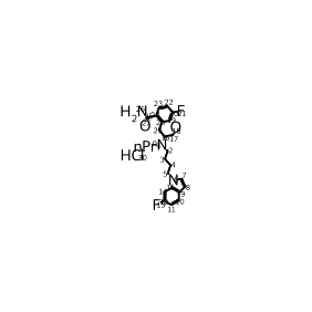 CCCN(CCCCn1ccc2ccc(F)cc21)C1COc2c(F)ccc(C(N)=O)c2C1.Cl